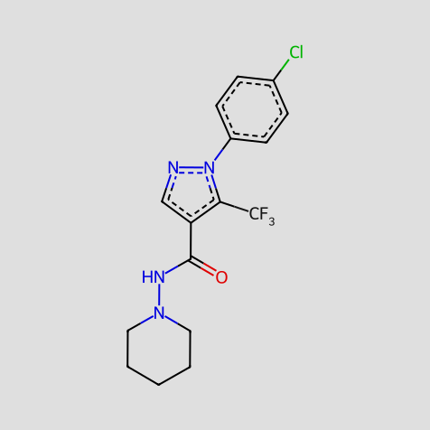 O=C(NN1CCCCC1)c1cnn(-c2ccc(Cl)cc2)c1C(F)(F)F